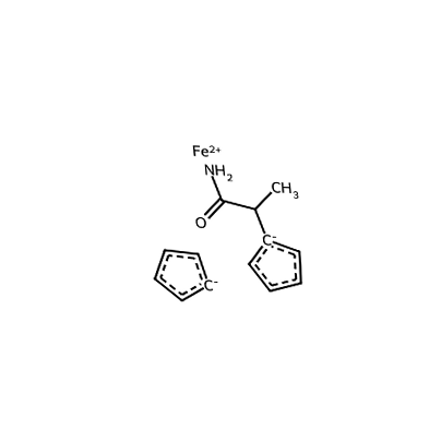 CC(C(N)=O)[c-]1cccc1.[Fe+2].c1cc[cH-]c1